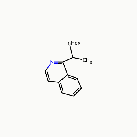 CCCCCCC(C)c1nccc2ccccc12